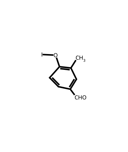 Cc1cc(C=O)ccc1OI